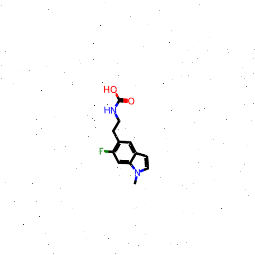 Cn1ccc2cc(CCNC(=O)O)c(F)cc21